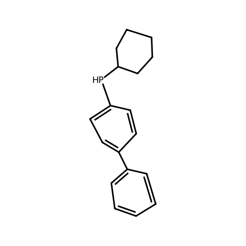 c1ccc(-c2ccc(PC3CCCCC3)cc2)cc1